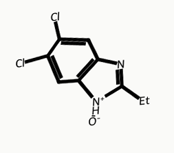 CCC1=Nc2cc(Cl)c(Cl)cc2[NH+]1[O-]